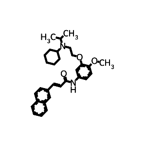 COc1ccc(NC(=O)C=Cc2ccc3ccccc3c2)cc1OCCN(C(C)C)C1CCCCC1